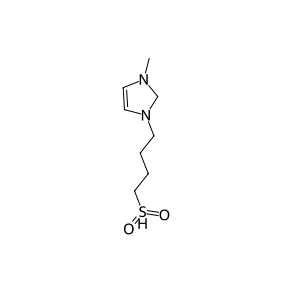 CN1C=CN(CCCC[SH](=O)=O)C1